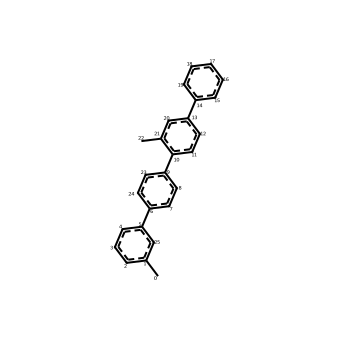 Cc1cccc(-c2ccc(-c3ccc(-c4ccccc4)cc3C)cc2)c1